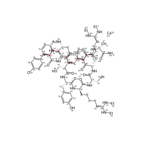 CCNC(=NCCCC[C@H](NC(=O)[C@H](CC(C)C)NC(=O)[C@@H](CCCCN=C(NCC)NCC)NC(=O)[C@H](Cc1ccc(O)cc1)NC(=O)[C@H](CO)NC(=O)[C@@H](Cc1cccnc1)NC(=O)[C@@H](Cc1ccc(Cl)cc1)NC(=O)[C@@H](Cc1cccc2ccccc12)NC(C)=O)C(=O)N1CCC[C@H]1C(=O)N[C@H](C)C(N)=O)NCC.[Ca+2]